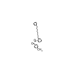 Cc1ccc(C(=O)[C@@H]2O[C@H]2c2ccccc2CCCCCCCCc2ccccc2)cc1